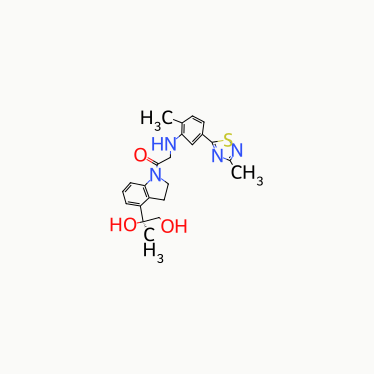 Cc1nsc(-c2ccc(C)c(NCC(=O)N3CCc4c3cccc4[C@](C)(O)CO)c2)n1